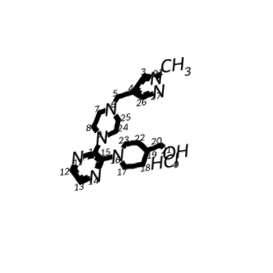 Cl.Cn1cc(CN2CCN(c3nccnc3N3CCC(CO)CC3)CC2)cn1